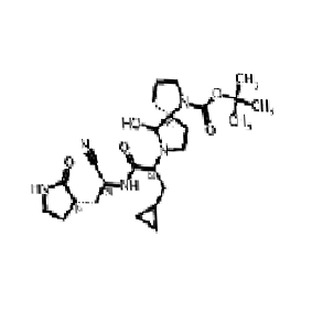 CC(C)(C)OC(=O)N1CCC[C@@]12CCN([C@@H](CC1CC1)C(=O)N[C@H](C#N)C[C@@H]1CCNC1=O)C2O